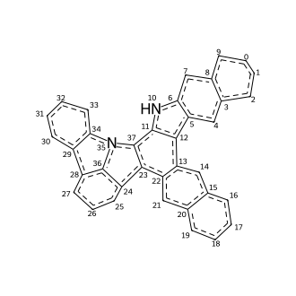 c1ccc2cc3c(cc2c1)[nH]c1c3c2cc3ccccc3cc2c2c3cccc4c5ccccc5n(c43)c12